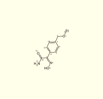 CCOCc1ccc(C(=NO)C(N)=O)cc1